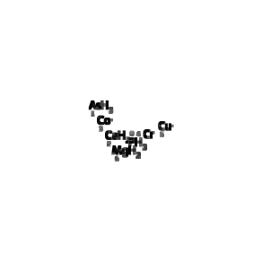 P.[AsH3].[CaH2].[Co].[Cr].[Cu].[MgH2]